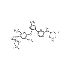 Cc1nc(Oc2cc(C)c(NS(=O)(=O)CC(F)(F)F)cc2C)c(-c2ccnc(N[C@@H]3CNC[C@@H](F)C3)n2)s1